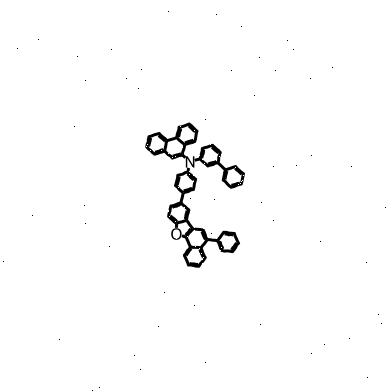 c1ccc(-c2cccc(N(c3ccc(-c4ccc5oc6c7ccccc7c(-c7ccccc7)cc6c5c4)cc3)c3cc4ccccc4c4ccccc34)c2)cc1